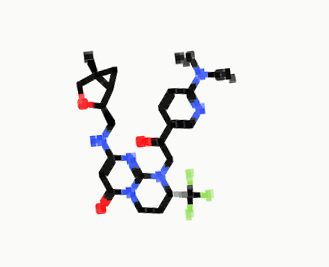 CN(C)c1ccc(C(=O)CN2c3nc(NC[C@H]4OC[C@@H]5CC54)cc(=O)n3CC[C@H]2C(F)(F)F)cn1